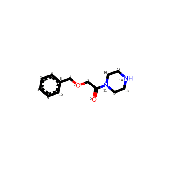 O=C(COCc1ccccc1)N1CCNCC1